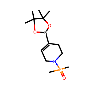 CC1(C)OB(C2=CCN(P(C)(C)=O)CC2)OC1(C)C